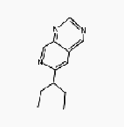 CCC(CC)c1cc2cncnc2cn1